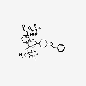 CC(C)(C)OC(=O)N1CCC[C@](CC=O)(NC(=O)C(F)(F)F)[C@@H]1COC1CCC(OCc2ccccc2)CC1